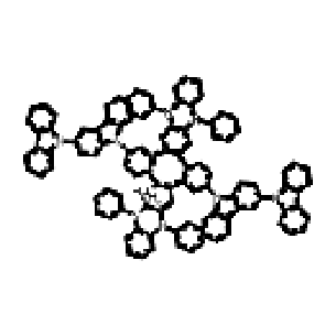 C=C1/C(=C\c2c(C)c3ccc(-n4c5ccccc5c5cc(-n6c7ccccc7c7ccccc76)ccc54)cc3c3cc4c(cc3c3ccc(-n5c6ccccc6c6cc(-n7c8ccccc8c8ccccc87)ccc65)cc23)n(-c2ccccc2)c2ccccc2n4-c2ccccc2)N(c2ccccc2)c2ccccc2N1c1ccccc1